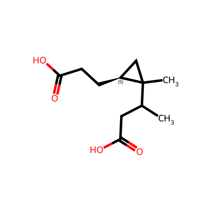 CC(CC(=O)O)C1(C)C[C@@H]1CCC(=O)O